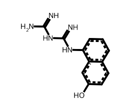 N=C(N)NC(=N)Nc1cccc2ccc(O)cc12